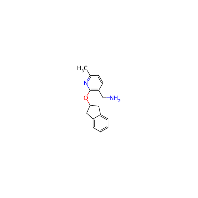 Cc1ccc(CN)c(OC2Cc3ccccc3C2)n1